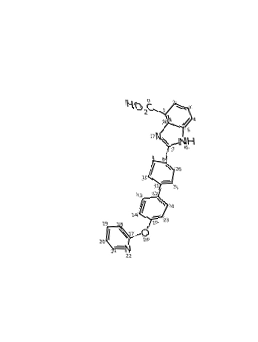 O=C(O)c1cccc2[nH]c(-c3ccc(-c4ccc(Oc5ccccn5)cc4)cc3)nc12